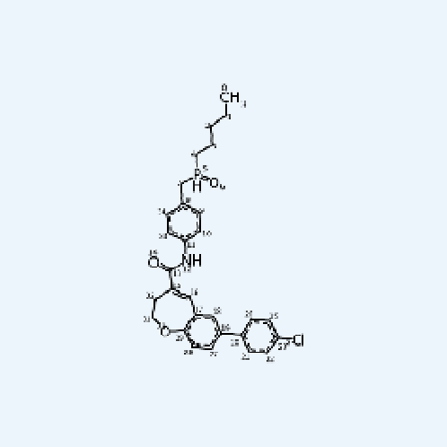 CCCCC[PH](=O)Cc1ccc(NC(=O)C2=Cc3cc(-c4ccc(Cl)cc4)ccc3OCC2)cc1